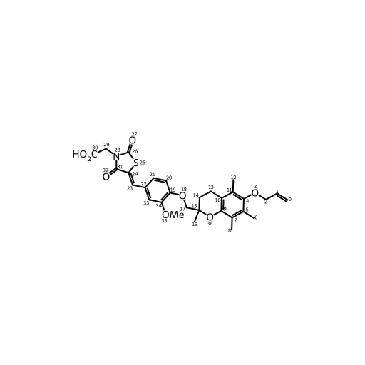 C=CCOc1c(C)c(C)c2c(c1C)CCC(C)(COc1ccc(/C=C3\SC(=O)N(CC(=O)O)C3=O)cc1OC)O2